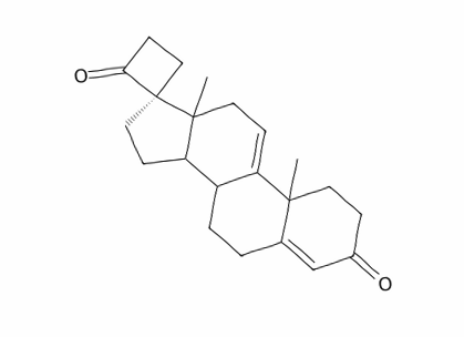 CC12CCC(=O)C=C1CCC1C2=CCC2(C)C1CC[C@]21CCC1=O